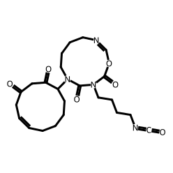 O=C=NCCCCN1C(=O)O/C=N\CCCCN(C2CCCC/C=C\CC(=O)CC2=O)C1=O